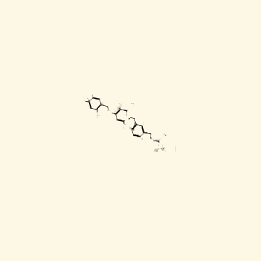 Cc1cc(OCc2ccc(F)cc2F)c(Br)c(=O)n1Cc1cccc(CNC(=O)N(C)C)c1